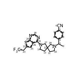 CC(c1ccc(C#N)cc1)N1CCC2(CCN(c3ncnc4sc(CC(F)(F)F)cc34)C2)C1